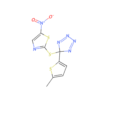 Cc1ccc(C2(Sc3ncc([N+](=O)[O-])s3)N=NN=N2)s1